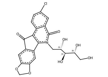 O=C1c2cc3c(cc2-c2c1c1ccc(Cl)cc1c(=O)n2C[C@H](O)[C@H](O)[C@H](O)CO)OCO3